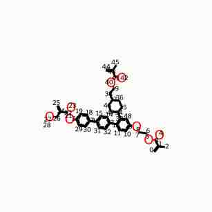 C=C(C)C(=O)OCCOc1ccc(-c2ccc(-c3ccc(OC(=O)C(=C)COC)cc3)cc2)c(C2CCC(CCOC(=O)C(=C)C)CC2)c1